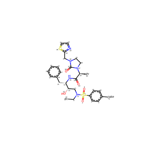 COc1ccc(S(=O)(=O)N(CC(C)C)C[C@H](O)[C@H](Cc2ccccc2)NC(=O)[C@H](C(C)C)N2CCN(Cc3nccs3)C2=O)cc1